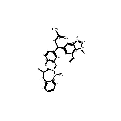 C=Cc1cc(C(CC(=O)O)c2ccc(C)c(CN3CC(C)Oc4ccccc4[S+]3[O-])c2)cc2nnn(C)c12